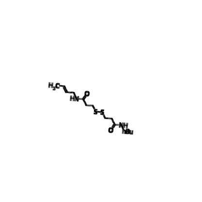 C/C=C/CNC(=O)CCSSCCC(=O)NCCCC